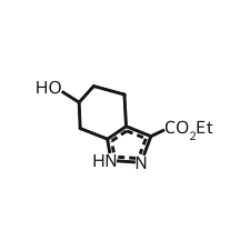 CCOC(=O)c1n[nH]c2c1CCC(O)C2